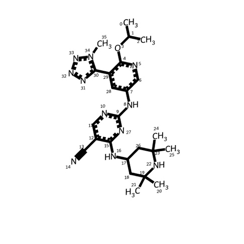 CC(C)Oc1ncc(Nc2ncc(C#N)c(NC3CC(C)(C)NC(C)(C)C3)n2)cc1-c1nnnn1C